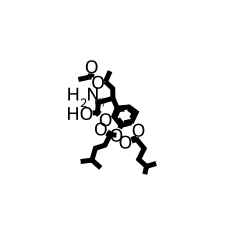 CC(=O)OC(C)CC(c1ccc(OC(=O)CCC(C)C)c(OC(=O)CCC(C)C)c1)[C@H](N)C(=O)O